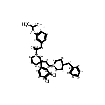 CC(C)Oc1cccc(CC(=O)N2CCCC(CCN3CCC(Cc4ccccc4)CC3)(c3ccc(Cl)c(Cl)c3)C2)c1